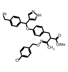 COC(=O)C(Cc1ccc(OC(c2ccc(CC(C)C)cc2)c2cn[nH]c2)cc1)C(C)=NOCc1ccc(Cl)cc1